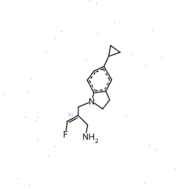 NC/C(=C\F)CN1CCc2cc(C3CC3)ccc21